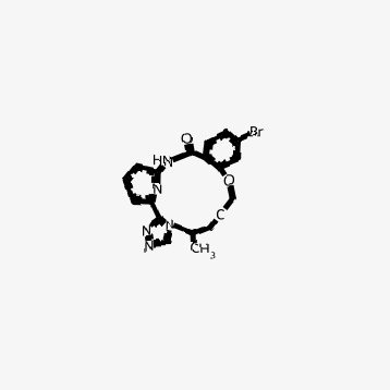 CC1CCCOc2cc(Br)ccc2C(=O)Nc2cccc(n2)-c2nncn21